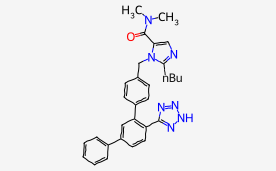 CCCCc1ncc(C(=O)N(C)C)n1Cc1ccc(-c2cc(-c3ccccc3)ccc2-c2nn[nH]n2)cc1